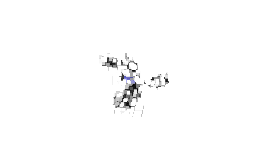 CN1CCN(CCc2nonc2/C(=N\O)Nc2ccc(F)c(Cl)c2)CC1.O=C(O)C(F)(F)F.O=C(O)C(F)(F)F